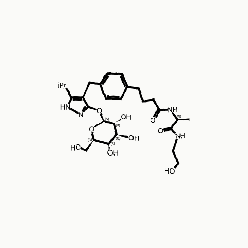 CC(C)c1[nH]nc(O[C@@H]2O[C@H](CO)[C@@H](O)[C@H](O)[C@H]2O)c1Cc1ccc(CCCC(=O)N[C@@H](C)C(=O)NCCO)cc1